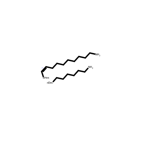 CCCCCC/C=C\CCCCCCCCN.CCCCCCCCCCCCCCCCN